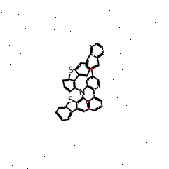 c1ccc(-c2ccc(-c3ccc4ccccc4c3)cc2N(c2cccc3c2sc2ccccc23)c2cccc3sc4ccccc4c23)cc1